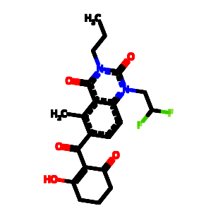 CCCn1c(=O)c2c(C)c(C(=O)C3=C(O)CCCC3=O)ccc2n(CC(F)F)c1=O